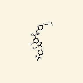 CCSc1ccc(CNC(=O)c2cc(Br)c3c(c2)nc(C[C@H]2CC[C@H](C(F)(F)F)CC2)n3C)cc1